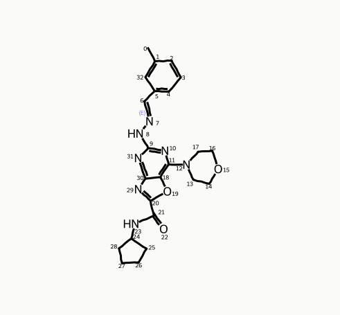 Cc1cccc(/C=N/Nc2nc(N3CCOCC3)c3oc(C(=O)NC4CCCC4)nc3n2)c1